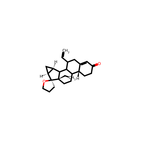 C=CC1CC2=CC(=O)CC[C@@H]2C2CC[C@@]3(CC)C(C12)[C@@H]1C[C@@H]1[C@@]31CCCO1